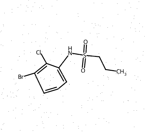 CCCS(=O)(=O)Nc1cccc(Br)c1Cl